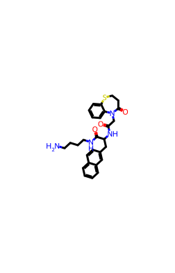 NCCCCNC(=O)C(Cc1ccc2ccccc2c1)NC(=O)CN1C(=O)CCSc2ccccc21